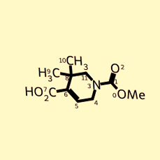 COC(=O)N1CC=C(C(=O)O)C(C)(C)C1